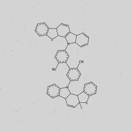 CC12C=CC3c4ccccc4N(c4ccc(C#N)c(-c5cc(N6C7=C(C=CC8c9ccccc9SC78)C7C=CC=CC76)ccc5C#N)c4)C3C1c1ccccc1S2